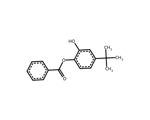 CC(C)(C)c1ccc(OC(=O)c2ccccc2)c(O)c1